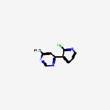 CSc1cc(-c2cccnc2Cl)ncn1